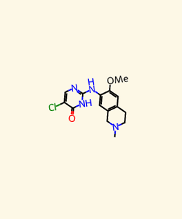 COc1cc2c(cc1Nc1ncc(Cl)c(=O)[nH]1)CN(C)CC2